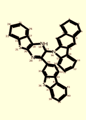 c1ccc2cc3c(cc2c1)c1ccccc1n3C1Nc2c(sc3ccccc23)N=C1c1ccc2c(c1)sc1ccccc12